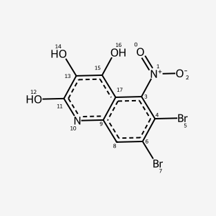 O=[N+]([O-])c1c(Br)c(Br)cc2nc(O)c(O)c(O)c12